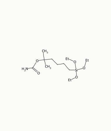 CCO[Si](CCCCC(C)(C)OC(N)=O)(OCC)OCC